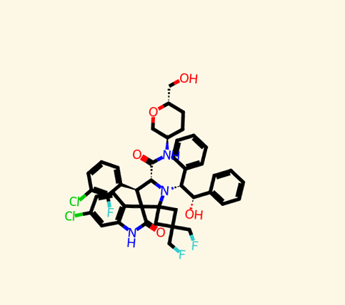 O=C(N[C@@H]1CC[C@@H](CO)OC1)[C@H]1[C@H](c2cccc(Cl)c2F)C2(C(=O)Nc3cc(Cl)ccc32)C2(CC(CF)(CF)C2)N1[C@H](c1ccccc1)[C@@H](O)c1ccccc1